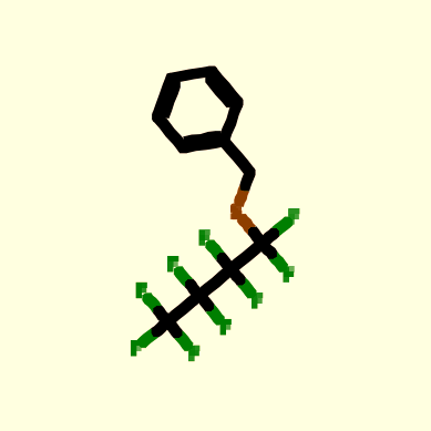 FC(F)(F)C(F)(F)C(F)(F)C(F)(F)SCc1ccccc1